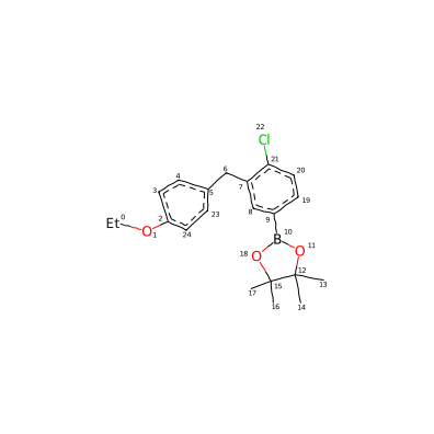 CCOc1ccc(Cc2cc(B3OC(C)(C)C(C)(C)O3)ccc2Cl)cc1